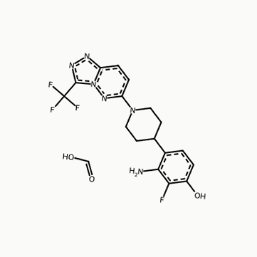 Nc1c(C2CCN(c3ccc4nnc(C(F)(F)F)n4n3)CC2)ccc(O)c1F.O=CO